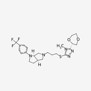 Cn1c(SCCCN2C[C@H]3CCN(c4ccc(C(F)(F)F)cc4)[C@H]3C2)nnc1[C@H]1COCCO1